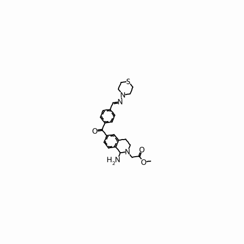 COC(=O)CN1CCc2cc(C(=O)c3ccc(C=NN4CCSCC4)cc3)ccc2C1N